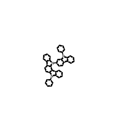 c1ccc(-n2c3ccccc3c3ccc(-n4c5ccccc5c5ccc6c(c7ccccc7n6-c6ccccc6)c54)cc32)cc1